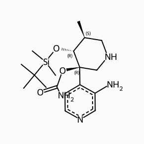 C[C@H]1CNC[C@](OC(N)=O)(c2ccncc2N)[C@@H]1O[Si](C)(C)C(C)(C)C